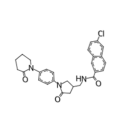 O=C(NCC1CC(=O)N(c2ccc(N3CCCCC3=O)cc2)C1)c1ccc2cc(Cl)ccc2c1